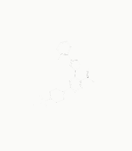 CS(=O)(=O)N1CCN(c2cnc(C(N)=O)c(-c3nc(-c4ccccc4Cl)cs3)c2)CC1